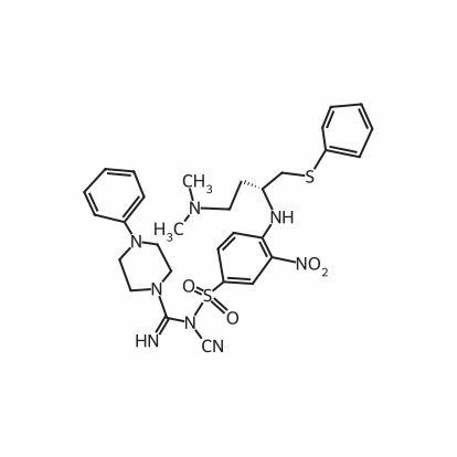 CN(C)CC[C@H](CSc1ccccc1)Nc1ccc(S(=O)(=O)N(C#N)C(=N)N2CCN(c3ccccc3)CC2)cc1[N+](=O)[O-]